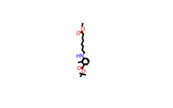 CCOC(=O)CCCCCCCNc1cccc(C(=O)OC(C)(C)C)c1C